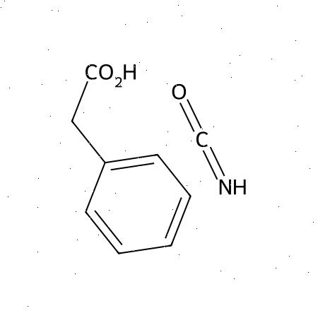 N=C=O.O=C(O)Cc1ccccc1